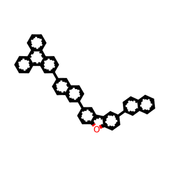 c1ccc2cc(-c3ccc4oc5ccc(-c6ccc7cc(-c8ccc9c%10ccccc%10c%10ccccc%10c9c8)ccc7c6)cc5c4c3)ccc2c1